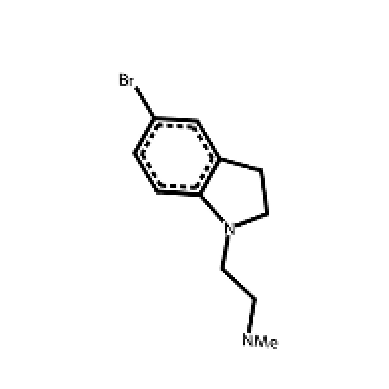 CNCCN1CCc2cc(Br)ccc21